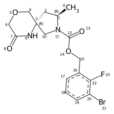 C[C@@H]1C[C@]2(COCC(=O)N2)CN1C(=O)OCc1cccc(Br)c1F